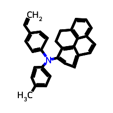 C=Cc1ccc(N(c2ccc(C)cc2)c2ccc3ccc4cccc5c4c3c2CC5)cc1